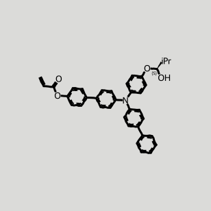 C=CC(=O)Oc1ccc(-c2ccc(N(c3ccc(O[C@H](O)C(C)C)cc3)c3ccc(-c4ccccc4)cc3)cc2)cc1